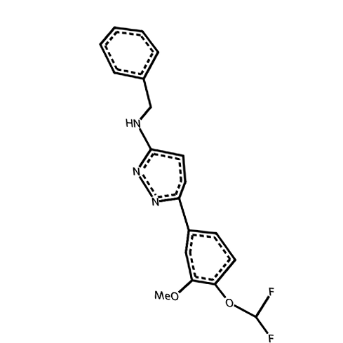 COc1cc(-c2ccc(NCc3ccccc3)nn2)ccc1OC(F)F